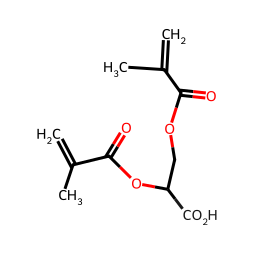 C=C(C)C(=O)OCC(OC(=O)C(=C)C)C(=O)O